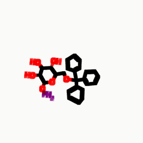 OC1[C@H](O)C(COC(c2ccccc2)(c2ccccc2)c2ccccc2)O[C@@H](OP)[C@H]1O